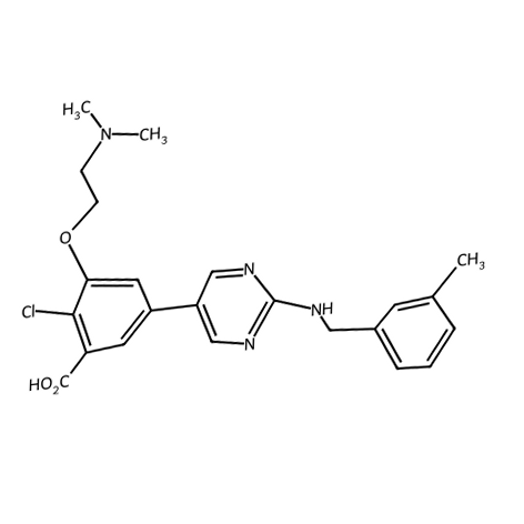 Cc1cccc(CNc2ncc(-c3cc(OCCN(C)C)c(Cl)c(C(=O)O)c3)cn2)c1